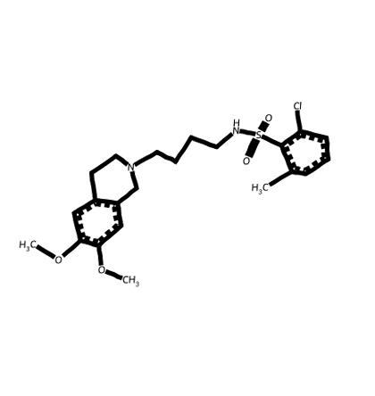 COc1cc2c(cc1OC)CN(CCCCNS(=O)(=O)c1c(C)cccc1Cl)CC2